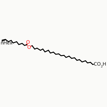 CCCCCC/C=C\CCCCCCCC(=O)OCCCCCCCCCCCCCCCCCCCCCCCCC(=O)O